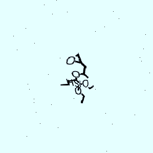 CCCC(OC(C)CC1CO1)[SiH](OCC)OCC